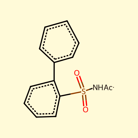 CC(=O)[N]S(=O)(=O)c1ccccc1-c1ccccc1